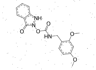 COc1ccc(CNC(=O)On2[nH]c3ccccc3c2=O)c(OC)c1